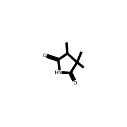 CC1C(=O)NC(=O)C1(C)C